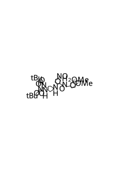 COc1ccc(CNC(=O)c2cc([N+](=O)[O-])ccc2N[C@H]2CC[C@H](NC(=NC(=O)OC(C)(C)C)NC(=O)OC(C)(C)C)CC2)cc1OC